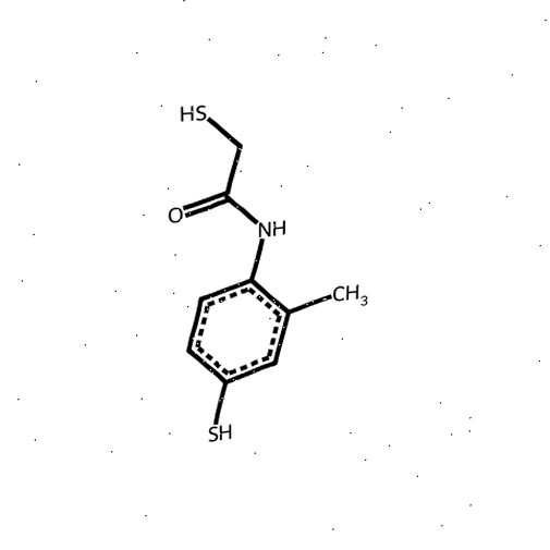 Cc1cc(S)ccc1NC(=O)CS